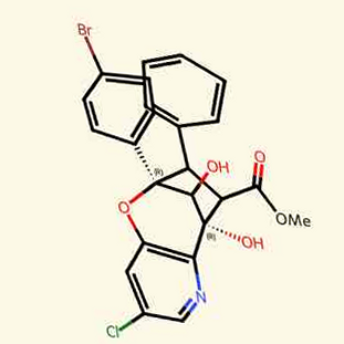 COC(=O)C1C(c2ccccc2)[C@]2(c3ccc(Br)cc3)Oc3cc(Cl)cnc3[C@@]1(O)C2O